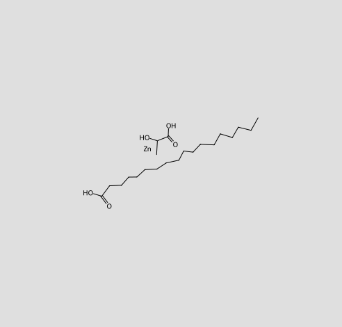 CC(O)C(=O)O.CCCCCCCCCCCCCCCCCC(=O)O.[Zn]